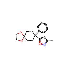 Cc1cc(C2(c3ccccc3)CCC3(CC2)OCCO3)on1